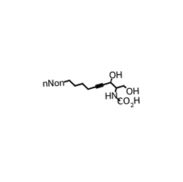 CCCCCCCCCCCCCC#C[C@@H](O)C(CO)NC(=O)O